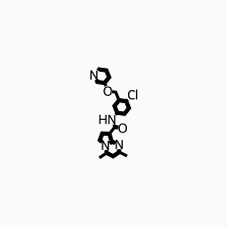 Cc1cc(C)n2ccc(C(=O)Nc3ccc(Cl)c(COc4cccnc4)c3)c2n1